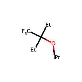 CCC(CC)(OC(C)C)C(F)(F)F